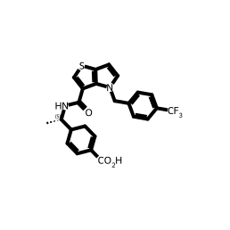 C[C@H](NC(=O)c1csc2ccn(Cc3ccc(C(F)(F)F)cc3)c12)C1C=CC(C(=O)O)=CC1